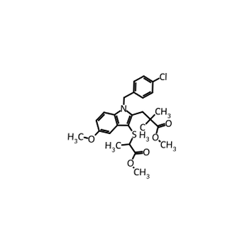 COC(=O)C(C)Sc1c(CC(C)(C)C(=O)OC)n(Cc2ccc(Cl)cc2)c2ccc(OC)cc12